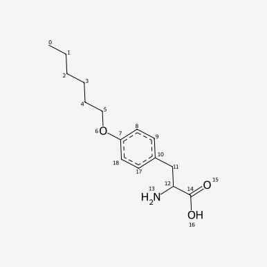 CCCCCCOc1ccc(CC(N)C(=O)O)cc1